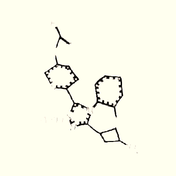 Cl.Cl.NC1CC(c2nnc(-c3ccc(OC(F)F)cn3)n2-c2ccccc2F)C1